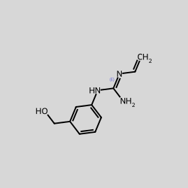 C=C/N=C(\N)Nc1cccc(CO)c1